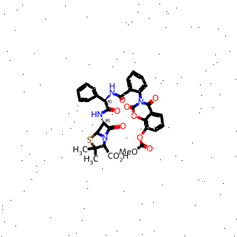 COC(=O)Oc1cccc2c(=O)n(-c3ccccc3C(=O)N[C@@H](C(=O)N[C@@H]3C(=O)N4C3SC(C)(C)C4C(=O)O)c3ccccc3)c(=O)oc12